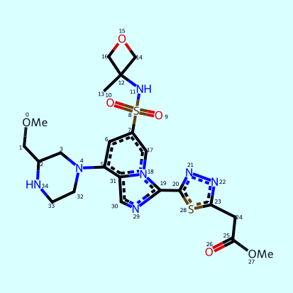 COCC1CN(c2cc(S(=O)(=O)NC3(C)COC3)cn3c(-c4nnc(CC(=O)OC)s4)ncc23)CCN1